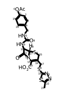 CC(=O)Oc1ccc(CNC(=O)NC2C(=O)N3C(C(=O)O)=C(CSc4nnc(C)s4)CS[C@@H]23)cc1